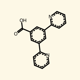 O=C(O)c1cc(-c2ccccn2)cc(-c2ccccn2)c1